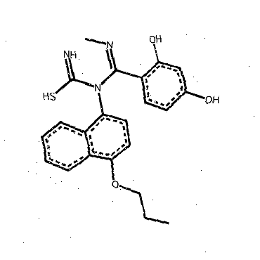 CCCOc1ccc(N(C(=N)S)/C(=N\C)c2ccc(O)cc2O)c2ccccc12